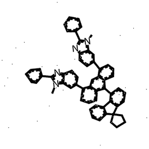 Cn1c(-c2ccccc2)nc2ccc(-c3cccc4c(-c5cccc6c5-c5ccccc5C65CCCC5)c5cccc(-c6ccc7nc(-c8ccccc8)n(C)c7c6)c5cc34)cc21